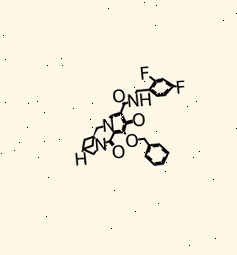 O=C(NCc1ccc(F)cc1F)c1cn2c(c(OCc3ccccc3)c1=O)C(=O)N1C[C@H]3C[C@]1(C2)C3